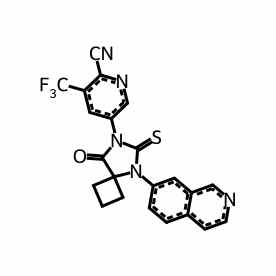 N#Cc1ncc(N2C(=O)C3(CCC3)N(c3ccc4ccncc4c3)C2=S)cc1C(F)(F)F